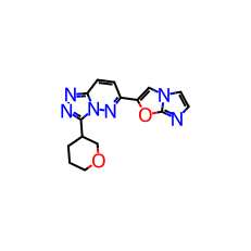 c1cn2cc(-c3ccc4nnc(C5CCCOC5)n4n3)oc2n1